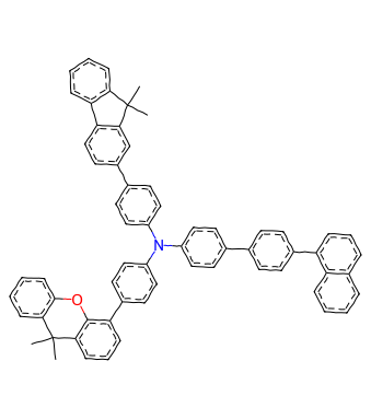 CC1(C)c2ccccc2-c2ccc(-c3ccc(N(c4ccc(-c5ccc(-c6cccc7ccccc67)cc5)cc4)c4ccc(-c5cccc6c5Oc5ccccc5C6(C)C)cc4)cc3)cc21